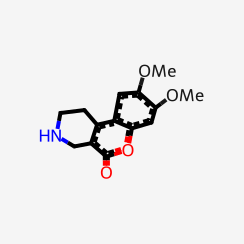 COc1cc2oc(=O)c3c(c2cc1OC)CCNC3